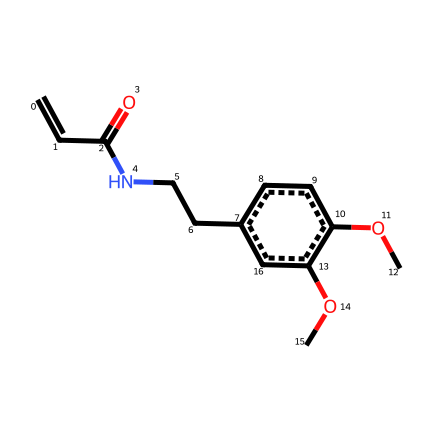 C=CC(=O)NCCc1ccc(OC)c(OC)c1